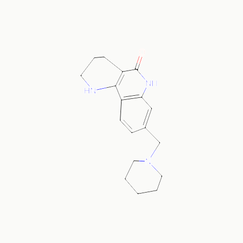 O=c1[nH]c2cc(CN3CCCCC3)ccc2c2c1CCCN2